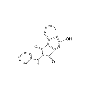 O=C1c2cc(O)c3ccccc3c2C(=O)N1Nc1ccccc1